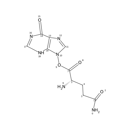 NC(=O)CC[C@H](N)C(=O)On1cnc2c(=O)nc[nH]c21